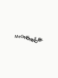 COC1CN(c2ccc(N3CCN(c4cccc(CO[Si]5(C)CC5(C)C)c4F)CC3)cn2)C1